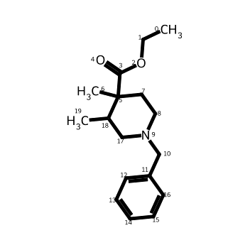 CCOC(=O)C1(C)CCN(Cc2ccccc2)CC1C